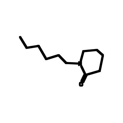 CCCCCCN1CCCCC1=O